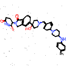 CC(C)c1ccc(NC2CCN(c3ccc(CN4CCC(O)(c5ccc6c(c5)CN(C5CCC(=O)NC5=O)C6=O)CC4)cc3)CC2)cc1